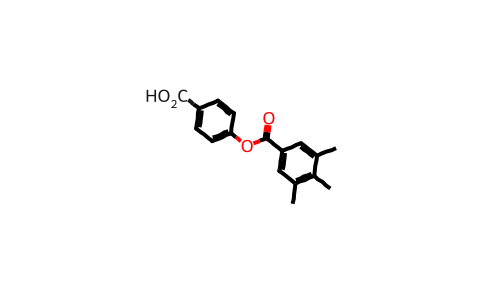 Cc1cc(C(=O)Oc2ccc(C(=O)O)cc2)cc(C)c1C